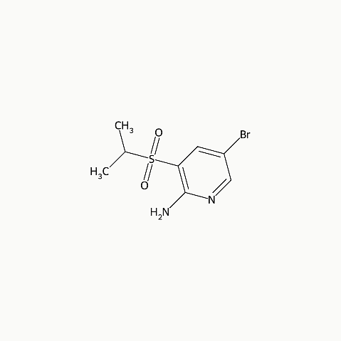 CC(C)S(=O)(=O)c1cc(Br)cnc1N